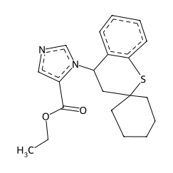 CCOC(=O)c1cncn1C1CC2(CCCCC2)Sc2ccccc21